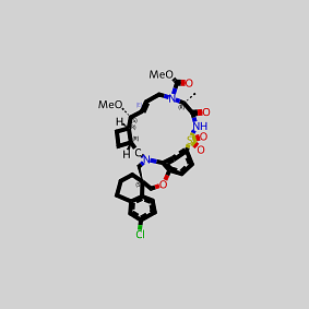 COC(=O)N1C/C=C/[C@@H](OC)[C@@H]2CC[C@H]2CN2C[C@@]3(CCCc4cc(Cl)ccc43)COc3ccc(cc32)S(=O)(=O)NC(=O)[C@H]1C